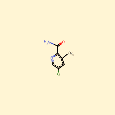 Cc1cc(Cl)cnc1C(N)=O